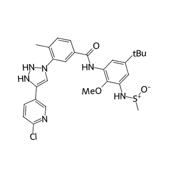 COc1c(NC(=O)c2ccc(C)c(N3C=C(c4ccc(Cl)nc4)NN3)c2)cc(C(C)(C)C)cc1N[S+](C)[O-]